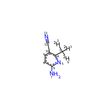 [2H]C([2H])([2H])c1nc(N)ccc1C#N